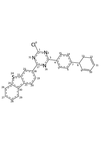 Clc1nc(-c2ccc(C3C=CC=CC3)cc2)nc(-c2ccc3c(c2)sc2ccccc23)n1